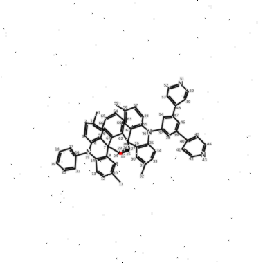 Cc1ccc2c(c1)C1(c3cc(C)ccc3N2c2ccccc2)c2ccccc2C2(c3cc(C)ccc3N(c3cc(-c4ccncc4)cc(-c4ccncc4)c3)c3ccc(C)cc32)c2ccccc21